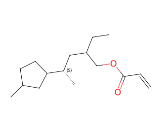 C=CC(=O)OCC(CC)C[C@H](C)C1CCC(C)C1